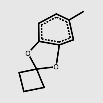 Cc1ccc2c(c1)OC1(CCC1)O2